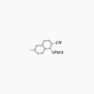 CCCCCc1c(C#N)ccc2cc(C)ccc12